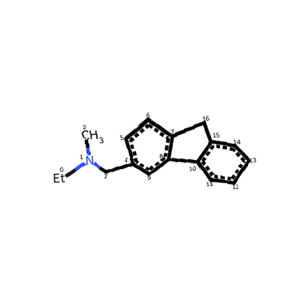 CCN(C)Cc1ccc2c(c1)-c1ccccc1C2